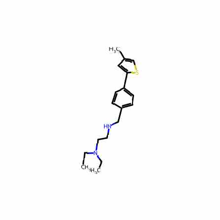 CCN(CC)CCNCc1ccc(-c2cc(C)cs2)cc1